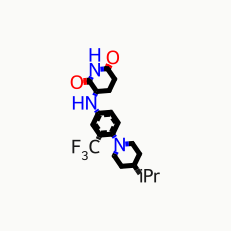 CC(C)C1CCN(c2ccc(NC3CCC(=O)NC3=O)cc2C(F)(F)F)CC1